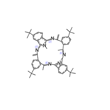 C=C1/N=c2/c3ccc(C(C)(C)C)cc3/c(n2C)=N/C(=C)c2ccc(C(C)(C)C)cc2/C(C)=N/c2c3ccc(C(C)(C)C)cc3c(n2C)/N=C(\C)c2ccc(C(C)(C)C)cc21